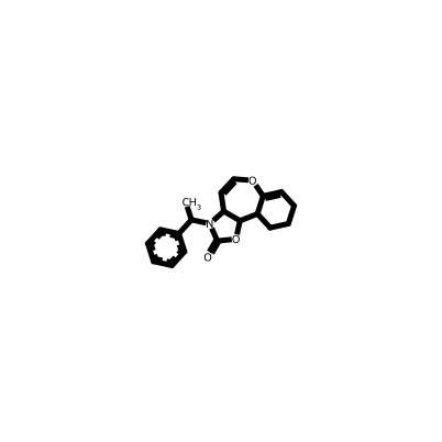 CC(c1ccccc1)N1C(=O)OC2C3CCCC=C3OC=CC21